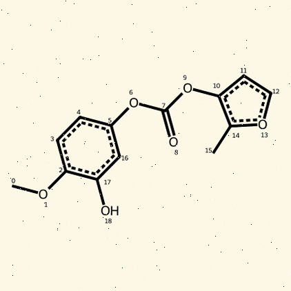 COc1ccc(OC(=O)Oc2ccoc2C)cc1O